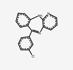 Clc1cccc(C2=Nc3cccnc3Nc3ccccc32)c1